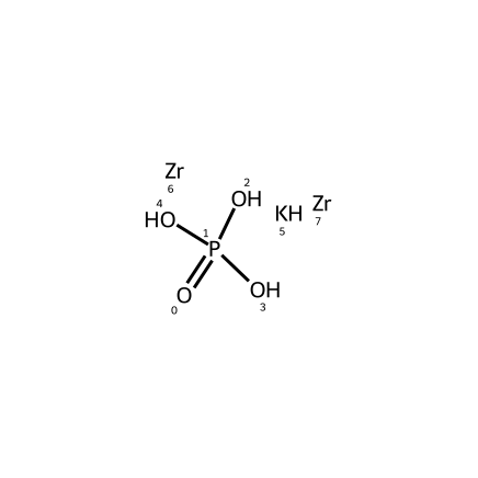 O=P(O)(O)O.[KH].[Zr].[Zr]